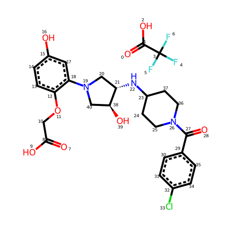 O=C(O)C(F)(F)F.O=C(O)COc1ccc(O)cc1N1C[C@H](NC2CCN(C(=O)c3ccc(Cl)cc3)CC2)[C@@H](O)C1